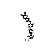 CCc1cc2ncc(CN3CCN(c4ccc(-c5nnc(C)[nH]5)nc4)CC3)cc2[nH]c1=O